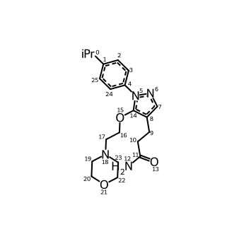 CC(C)c1ccc(-n2ncc(CCC(N)=O)c2OCCN2CCOCC2)cc1